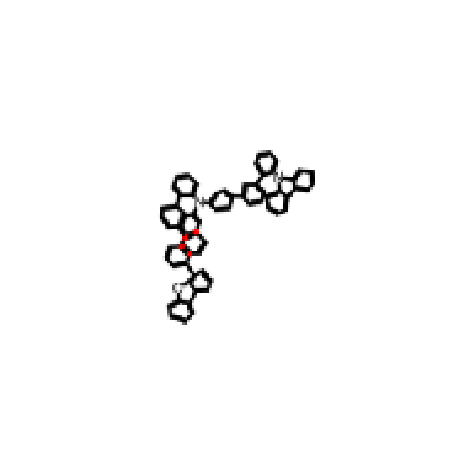 c1ccc(-c2cccc(-c3ccccc3N(c3ccc(-c4cccc(-c5ccccc5-n5c6ccccc6c6ccccc65)c4)cc3)c3ccc(-c4cccc(-c5cccc6c5oc5ccccc56)c4)cc3)c2)cc1